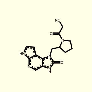 N#CCC(=O)N1CCCC1Cn1c(=O)[nH]c2cnc3[nH]ccc3c21